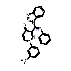 O=c1ccn(-c2cccc(C(F)(F)F)c2)nc1/C(=N\c1ccccc1)n1nnc2ccccc21